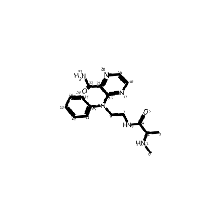 CNC(C)C(=O)NCCN(c1ccccc1)c1nccnc1C(N)=O